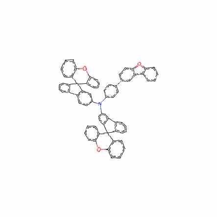 c1ccc2c(c1)Oc1ccccc1C21c2ccccc2-c2cc(N(c3ccc(-c4ccc5oc6ccccc6c5c4)cc3)c3ccc4c(c3)C3(c5ccccc5Oc5ccccc53)c3ccccc3-4)ccc21